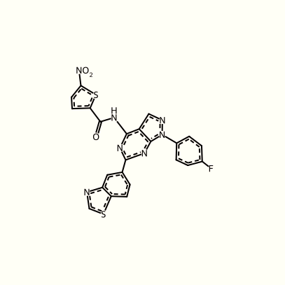 O=C(Nc1nc(-c2ccc3scnc3c2)nc2c1cnn2-c1ccc(F)cc1)c1ccc([N+](=O)[O-])s1